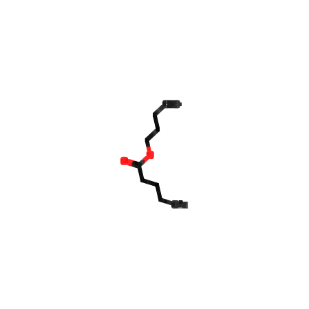 CC(=O)OCCCC(=O)OCCC[C]=O